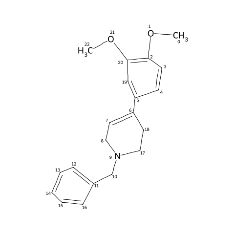 COc1ccc(C2=CCN(Cc3ccccc3)CC2)cc1OC